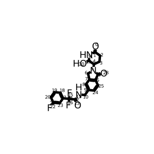 O=C1CCC(N2Cc3cc(CNC(=O)C(F)(F)c4cccc(F)c4)ccc3C2=O)C(O)N1